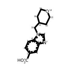 O=C(O)c1ccc2c(c1)ncn2CC1CCOCC1